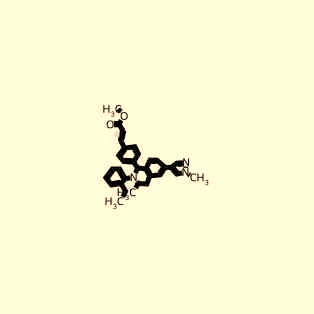 CCc1ccccc1N1C(C)Cc2cc(-c3cnn(C)c3)ccc2C1c1ccc(/C=C/C(=O)OC)cc1